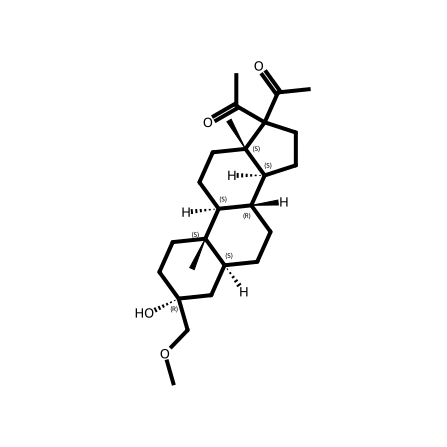 COC[C@@]1(O)CC[C@@]2(C)[C@@H](CC[C@@H]3[C@@H]2CC[C@@]2(C)[C@H]3CCC2(C(C)=O)C(C)=O)C1